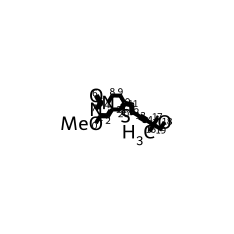 COc1cc2n(c(=O)n1)CCc1cc(C#CC3(C)COC3)sc1-2